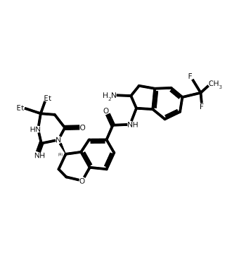 CCC1(CC)CC(=O)N([C@@H]2CCOc3ccc(C(=O)NC4c5ccc(C(C)(F)F)cc5CC4N)cc32)C(=N)N1